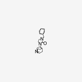 O=C1N(Cc2ccccc2)CCN1C1CN2CCC1CC2